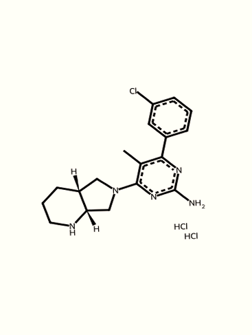 Cc1c(-c2cccc(Cl)c2)nc(N)nc1N1C[C@H]2CCCN[C@H]2C1.Cl.Cl